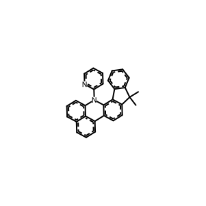 CC1(C)c2ccccc2-c2c1ccc1c2N(c2ccccn2)c2cccc3cccc-1c23